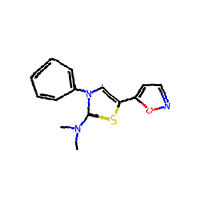 CN(C)C1SC(c2ccno2)=[C]N1c1ccccc1